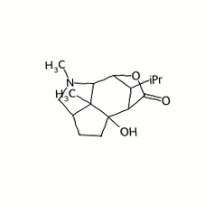 CC(C)C1C2OC(=O)C1C1(O)CCC3CN(C)C2C31C